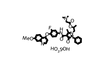 COc1ccc2c(Oc3ccc(NC(=O)c4c(C)n(CC(C)OC(=O)CN(C)C)n(-c5ccccc5)c4=O)cc3F)ccnc2c1.O=S(=O)(O)O